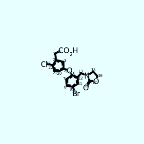 O=C(O)Cc1cc(Oc2ccc(Br)cc2CN2CCOC2=O)ccc1Cl